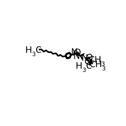 CCCCCCCCCCCc1ccc(-c2noc(C3CN(C(=O)OC(C)(C)C)C3)n2)cc1